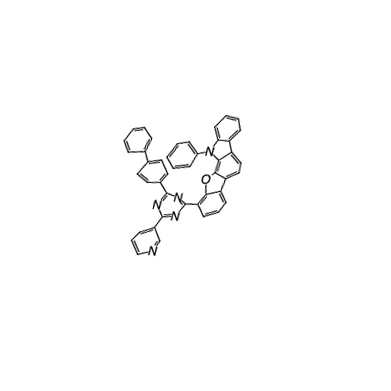 c1ccc(-c2ccc(-c3nc(-c4cccnc4)nc(-c4cccc5c4oc4c5ccc5c6ccccc6n(-c6ccccc6)c54)n3)cc2)cc1